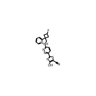 N#Cc1sc(-c2ccc(NCC3(c4ccccn4)CC(F)C3)nn2)nc1O